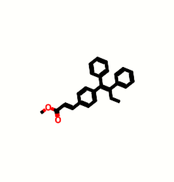 CCC(=C(c1ccccc1)c1ccc(C=CC(=O)OC)cc1)c1ccccc1